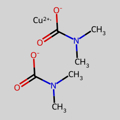 CN(C)C(=O)[O-].CN(C)C(=O)[O-].[Cu+2]